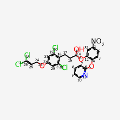 O=[N+]([O-])c1ccc(Oc2ccccn2)c(OC(O)CCc2c(Cl)cc(OCC=C(Cl)Cl)cc2Cl)c1